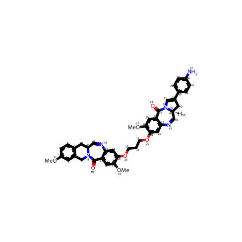 COc1ccc2c(c1)CN1C(=O)c3cc(OC)c(OCCCOc4cc5c(cc4OC)C(=O)N4C=C(c6ccc(N)cc6)C[C@H]4C=N5)cc3N=CC1C2